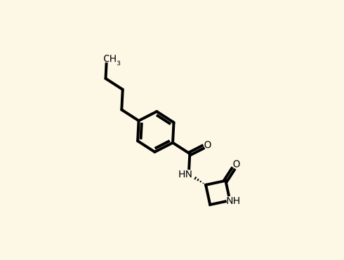 CCCCc1ccc(C(=O)N[C@H]2CNC2=O)cc1